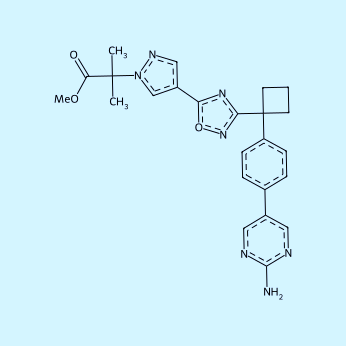 COC(=O)C(C)(C)n1cc(-c2nc(C3(c4ccc(-c5cnc(N)nc5)cc4)CCC3)no2)cn1